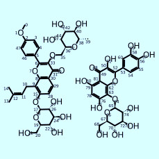 COc1ccc(-c2oc3c(CC=C(C)C)c(O[C@@H]4O[C@H](CO)[C@@H](O)[C@H](O)[C@H]4O)ccc3c(=O)c2OC[C@@H]2O[C@@H](C)[C@H](O)[C@@H](O)[C@H]2O)cc1.O=c1c(O)c(-c2ccc(O)c(O)c2)oc2c(O[C@@H]3O[C@H](CO)[C@@H](O)[C@H](O)[C@H]3O)c(O)cc(O)c12